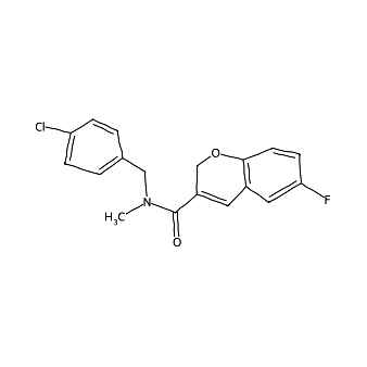 CN(Cc1ccc(Cl)cc1)C(=O)C1=Cc2cc(F)ccc2OC1